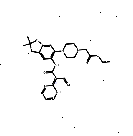 CCOC(=O)CN1CCN(c2cc3c(cc2NC(=O)/C(C=N)=C2\N=CC=CN2)CC(C)(C)O3)CC1